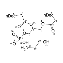 CCCCCCCCCCCC(=O)OCC(COP(=O)(O)O)OC(=O)CCCCCCCCCCC.NCCO